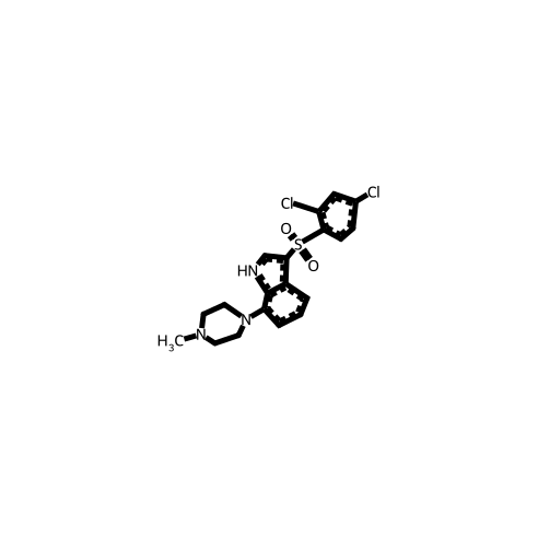 CN1CCN(c2cccc3c(S(=O)(=O)c4ccc(Cl)cc4Cl)c[nH]c23)CC1